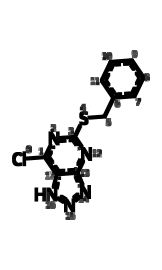 Clc1nc(SCc2ccccc2)nc2nn[nH]c12